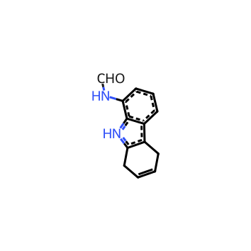 O=CNc1cccc2c3c([nH]c12)CC=CC3